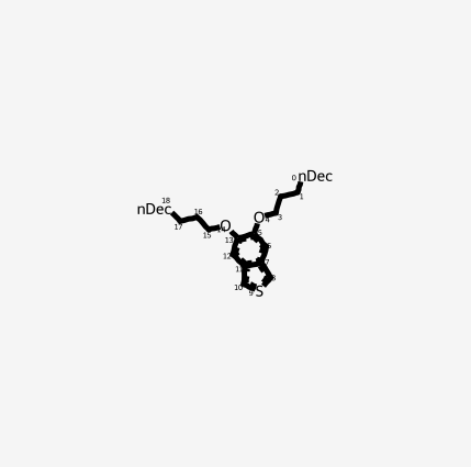 CCCCCCCCCCCCCOc1cc2cscc2cc1OCCCCCCCCCCCCC